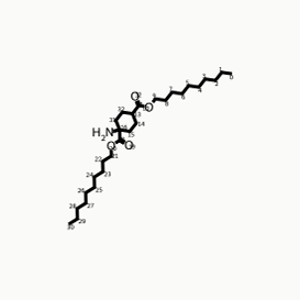 CCCCCCCCCCOC(=O)C1CCC(N)(C(=O)OCCCCCCCCCC)CC1